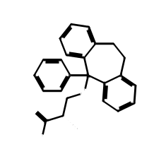 N[C@@H](COC1(c2ccccc2)c2ccccc2CCc2ccccc21)C(=O)O